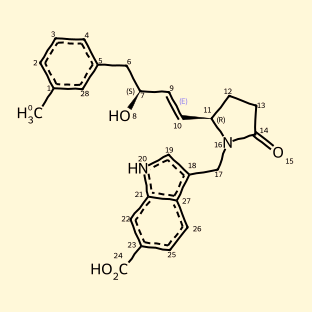 Cc1cccc(C[C@H](O)/C=C/[C@H]2CCC(=O)N2Cc2c[nH]c3cc(C(=O)O)ccc23)c1